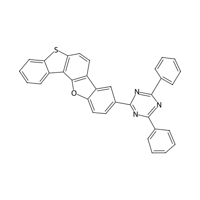 c1ccc(-c2nc(-c3ccccc3)nc(-c3ccc4oc5c(ccc6sc7ccccc7c65)c4c3)n2)cc1